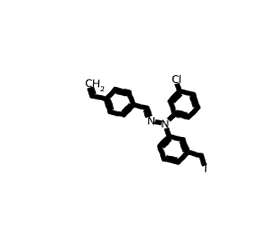 C=Cc1ccc(C=NN(c2cccc(Cl)c2)c2cccc(CI)c2)cc1